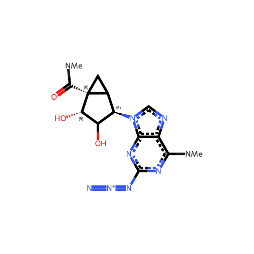 CNC(=O)[C@]12CC1[C@@H](n1cnc3c(NC)nc(N=[N+]=[N-])nc31)C(O)[C@@H]2O